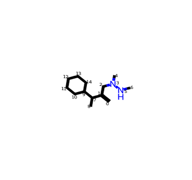 C=C(CN(C)NC)C(C)C1CCCCC1